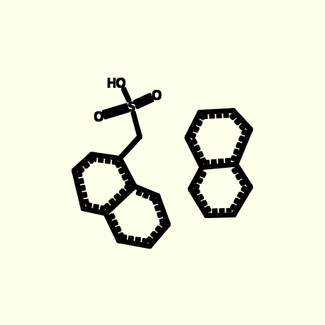 O=S(=O)(O)Cc1cccc2ccccc12.c1ccc2ccccc2c1